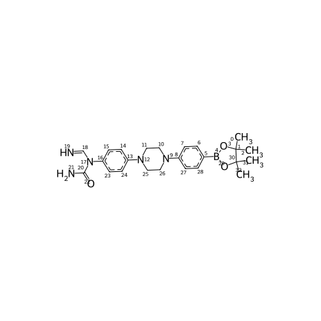 CC1(C)OB(c2ccc(N3CCN(c4ccc(N(C=N)C(N)=O)cc4)CC3)cc2)OC1(C)C